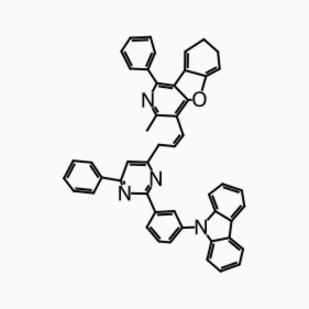 Cc1nc(-c2ccccc2)c2c3c(oc2c1/C=C\Cc1cc(-c2ccccc2)nc(-c2cccc(-n4c5ccccc5c5ccccc54)c2)n1)=CCCC=3